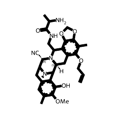 C=CCOc1c(C)c2c(c3c1C[C@H]1C4c5c(cc(C)c(OC)c5O)CC([C@H](C#N)N1C3CNC(=O)C(C)N)N4C)OCO2